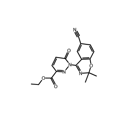 CCOC(=O)c1ccc(=O)n(C2=NC(C)(C)Oc3ccc(C#N)cc32)n1